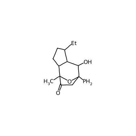 CCC1CCC2C1C(O)C1(P)CC(=O)C2(C)O1